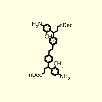 CCCCCCCCCCCCC(c1ccc(CCc2ccc(C(CCCCCCCCCCCC)c3ccc(N)cc3C)cc2)cc1)c1ccc(N)cc1C